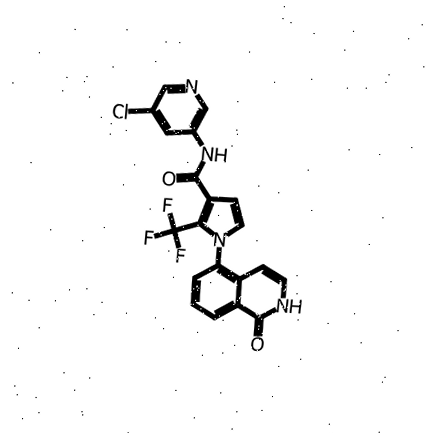 O=C(Nc1cncc(Cl)c1)c1ccn(-c2cccc3c(=O)[nH]ccc23)c1C(F)(F)F